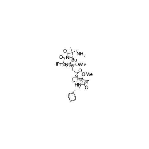 CC[C@H](C)[C@@H]([C@@H](CC(=O)N1CCC[C@H]1[C@H](OC)[C@@H](C)C(=O)NCCc1ccccc1)OC)N(C)[C@H](C(=O)NC(=O)C(C)(C)CN)C(C)C